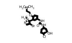 CN(C)CCOc1ccc(NC(=O)Nc2ccc(Cl)c(O)c2)cc1-c1c(Br)cnn1C